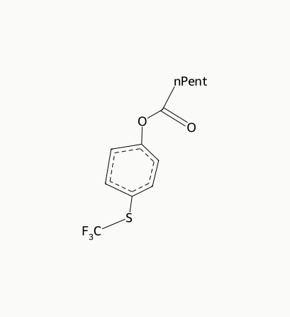 CCCCCC(=O)Oc1ccc(SC(F)(F)F)cc1